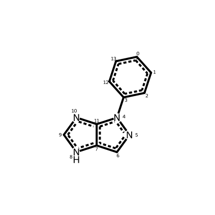 [c]1ccc(-n2ncc3[nH]cnc32)cc1